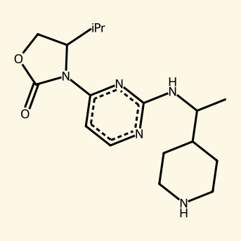 CC(C)C1COC(=O)N1c1ccnc(NC(C)C2CCNCC2)n1